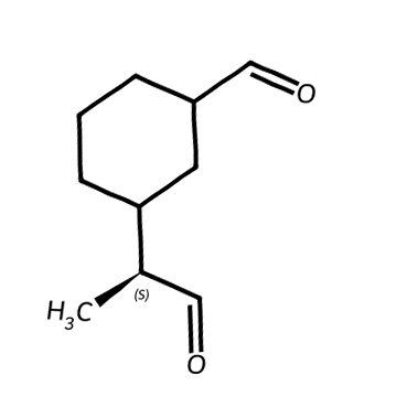 C[C@H](C=O)C1CCCC(C=O)C1